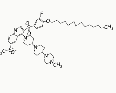 CCCCCCCCCCCCCCOc1ccc(S(=O)(=O)c2cnc3ccc([S+](C)[O-])cc3c2N2CCC(N3CCC(N4CCN(C)CC4)CC3)CC2)cc1F